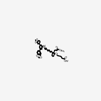 O=C(O)CCCOc1cccc(CCCCCCNc2cc(-c3ccc4c(c3)OCO4)cc(-c3ccc4c(c3)OCO4)c2)c1CCC(=O)O